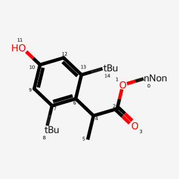 CCCCCCCCCOC(=O)C(C)c1c(C(C)(C)C)cc(O)cc1C(C)(C)C